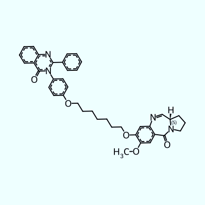 COc1cc2c(cc1OCCCCCCCOc1ccc(-n3c(-c4ccccc4)nc4ccccc4c3=O)cc1)N=C[C@@H]1CCCN1C2=O